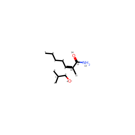 CC(C)C[O].CCCCC=C(C)C(N)=O